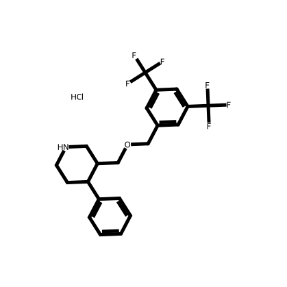 Cl.FC(F)(F)c1cc(COCC2CNCCC2c2ccccc2)cc(C(F)(F)F)c1